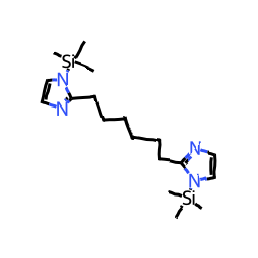 C[Si](C)(C)n1ccnc1CCCCCCc1nccn1[Si](C)(C)C